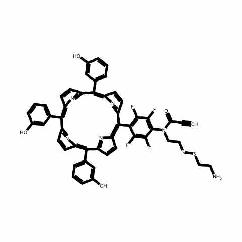 C#CC(=O)N(CCSSCCN)c1c(F)c(F)c(C2=C3C=CC(=N3)C(c3cccc(O)c3)=C3C=CC(=N3)C(c3cccc(O)c3)=C3C=CC(=N3)C(c3cccc(O)c3)=C3C=CC2=N3)c(F)c1F